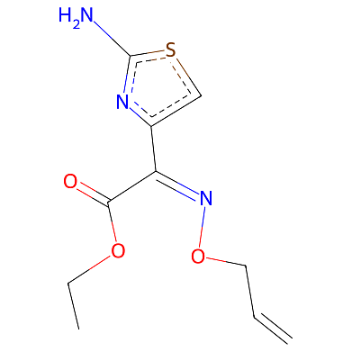 C=CCON=C(C(=O)OCC)c1csc(N)n1